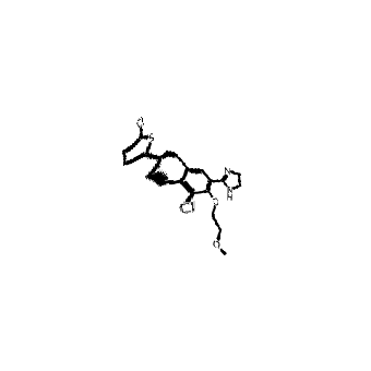 COCCOc1c(C2=NCCN2)cc2cc(-c3ccc(Cl)s3)ccc2c1Cl